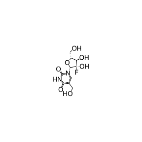 O=c1[nH]c(=O)n([C@@H]2O[C@H](CO)[C@@H](O)[C@@]2(O)F)cc1CO